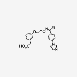 CCC(=NOCCOc1cccc(CC(=O)O)c1)c1ccc(-n2cncn2)cc1